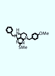 COc1ccc(CN2CCC3NN(Cc4ccccc4)c4nc(SC)nc2c43)cc1